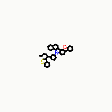 C=C/C=C\C(=C1/CSc2ccccc21)c1cccc(-n2c3ccc4c5ccccc5oc4c3c3ccc4ccccc4c32)c1